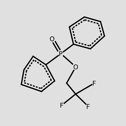 O=P(OCC(F)(F)F)(c1ccccc1)c1ccccc1